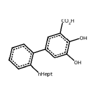 CCCCCCCc1ccccc1-c1cc(O)c(O)c(C(=O)O)c1